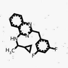 CC(Nc1nc(Cc2cc(F)cc(F)c2)nc2ccccc12)C1CC1